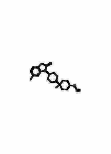 CCCOC1CCC(C)(N2CCC(N3C(=O)Cc4ccc(C)cc43)CC2)CC1